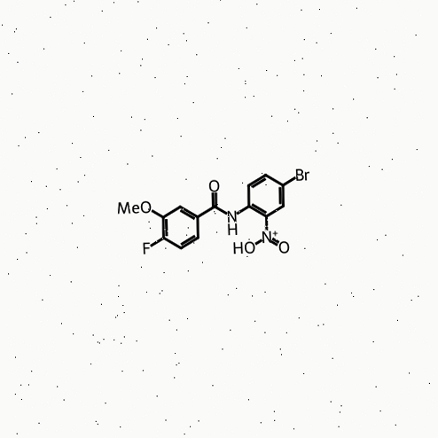 COc1cc(C(=O)Nc2ccc(Br)cc2[N+](=O)O)ccc1F